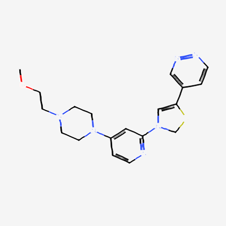 COCCN1CCN(c2ccnc(N3C=C(c4ccnnc4)SC3)c2)CC1